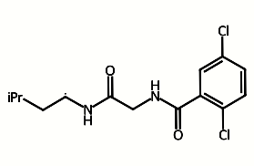 CC(C)C[CH]NC(=O)CNC(=O)c1cc(Cl)ccc1Cl